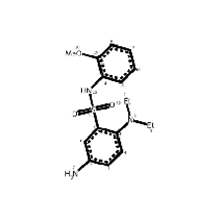 CCN(CC)c1ccc(N)cc1S(=O)(=O)Nc1ccccc1OC